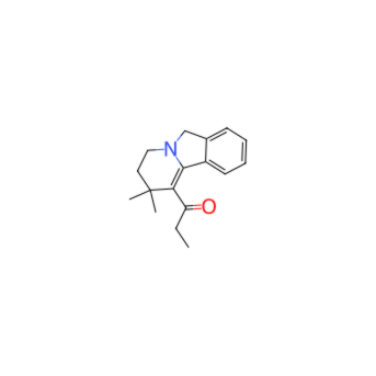 CCC(=O)C1=C2c3ccccc3CN2CCC1(C)C